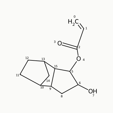 C=CC(=O)OC1C(O)CC2C3CCC(C3)C21